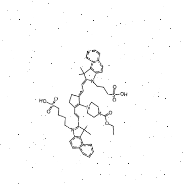 CCOC(=O)N1CCN(C2=C(C=CC3=[N+](CCCCS(=O)(=O)O)c4ccc5ccccc5c4C3(C)C)CCC2=CC=C2N(CCCS(=O)(=O)O)c3ccc4ccccc4c3C2(C)C)CC1